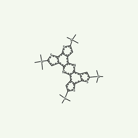 C[Si](C)(C)c1cc2c3nc4c5cc([Si](C)(C)C)sc5c5sc([Si](C)(C)C)cc5c4nc3c3cc([Si](C)(C)C)sc3c2s1